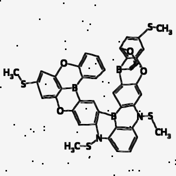 CSc1cc2c3c(c1)Oc1cc4c(cc1B3c1ccccc1O2)B1c2cc3c(cc2N(SC)c2cccc(c21)N4SC)Oc1cc(SC)cc2c1B3c1ccccc1O2